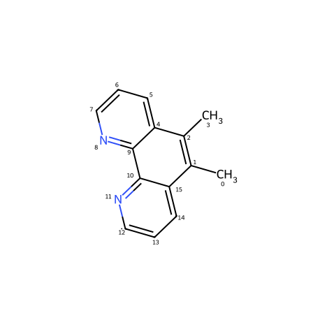 Cc1c(C)c2cccnc2c2n[c]ccc12